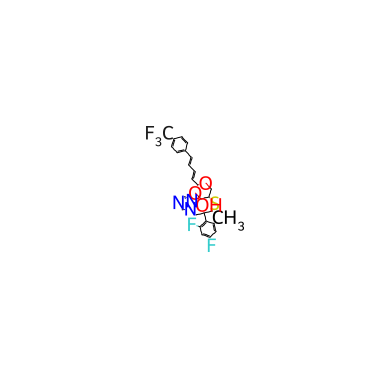 CC(SC1COC(C=CC=Cc2ccc(C(F)(F)F)cc2)OC1)C(O)(Cn1cncn1)c1ccc(F)cc1F